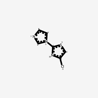 Clc1csc(-n2[c]ncc2)n1